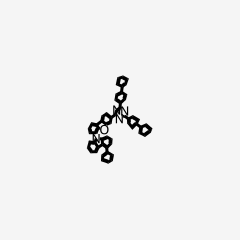 c1ccc(-c2ccc(-c3nc(-c4ccc(-c5ccccc5)cc4)nc(-c4ccc5c(c4)oc4c(-n6c7ccccc7c7c(-c8ccccc8)cccc76)cccc45)n3)cc2)cc1